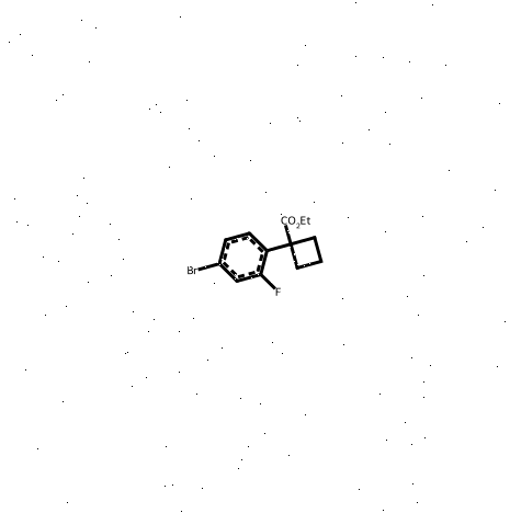 CCOC(=O)C1(c2ccc(Br)cc2F)CCC1